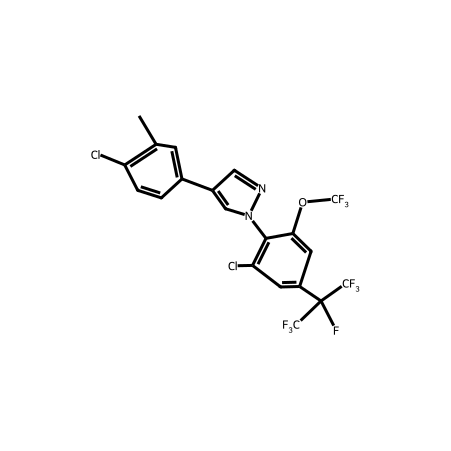 Cc1cc(-c2cnn(-c3c(Cl)cc(C(F)(C(F)(F)F)C(F)(F)F)cc3OC(F)(F)F)c2)ccc1Cl